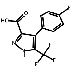 O=C(O)c1n[nH]c(C(F)(F)F)c1-c1ccc(F)cc1